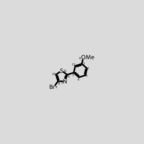 COc1cccc(-c2nc(Br)cs2)c1